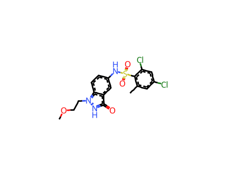 COCCn1[nH]c(=O)c2cc(NS(=O)(=O)c3c(C)cc(Cl)cc3Cl)ccc21